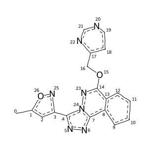 Cc1cc(-c2nnc3c4ccccc4c(OCc4ccncn4)nn23)no1